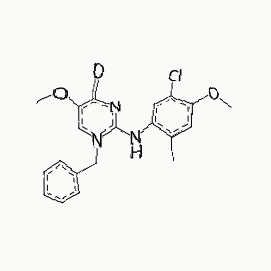 COc1cc(C)c(Nc2nc(=O)c(OC)cn2Cc2ccccc2)cc1Cl